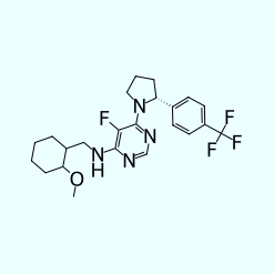 COC1CCCCC1CNc1ncnc(N2CCC[C@@H]2c2ccc(C(F)(F)F)cc2)c1F